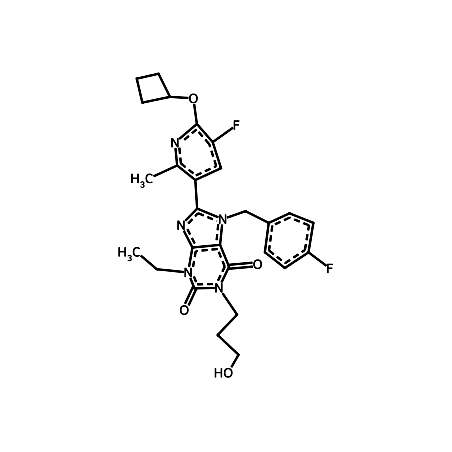 CCn1c(=O)n(CCCO)c(=O)c2c1nc(-c1cc(F)c(OC3CCC3)nc1C)n2Cc1ccc(F)cc1